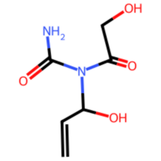 C=CC(O)N(C(N)=O)C(=O)CO